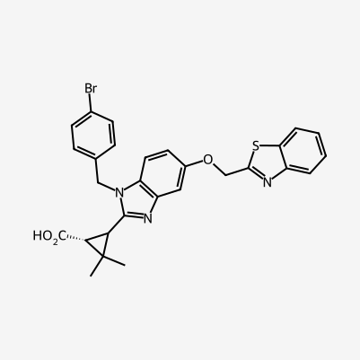 CC1(C)C(c2nc3cc(OCc4nc5ccccc5s4)ccc3n2Cc2ccc(Br)cc2)[C@H]1C(=O)O